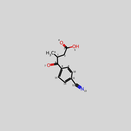 CC(CC(=O)O)C(=O)c1ccc(C#N)cc1